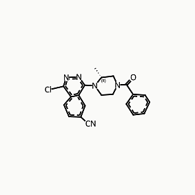 C[C@@H]1CN(C(=O)c2ccccc2)CCN1c1nnc(Cl)c2ccc(C#N)cc12